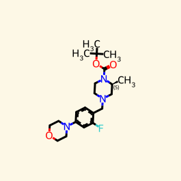 C[C@H]1CN(Cc2ccc(N3CCOCC3)cc2F)CCN1C(=O)OC(C)(C)C